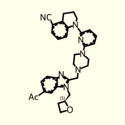 CC(=O)c1ccc2nc(CN3CCN(c4cccc(N5CCCc6c(C#N)cccc65)n4)CC3)n(C[C@@H]3CCO3)c2c1